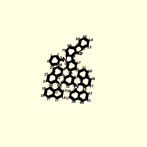 c1ccc(-n2c3cc(-c4cc(N(c5cccc6ccccc56)c5cccc6ccccc56)cc(N(c5cccc6ccccc56)c5cccc6ccccc56)c4)ccc3c3c4sc5ccccc5c4ccc32)cc1